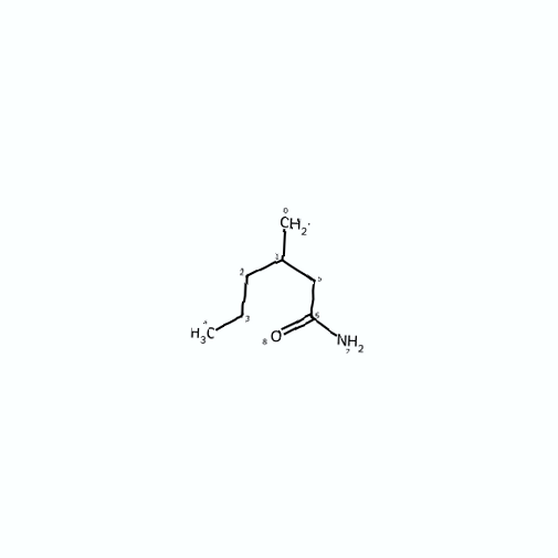 [CH2]C(CCC)CC(N)=O